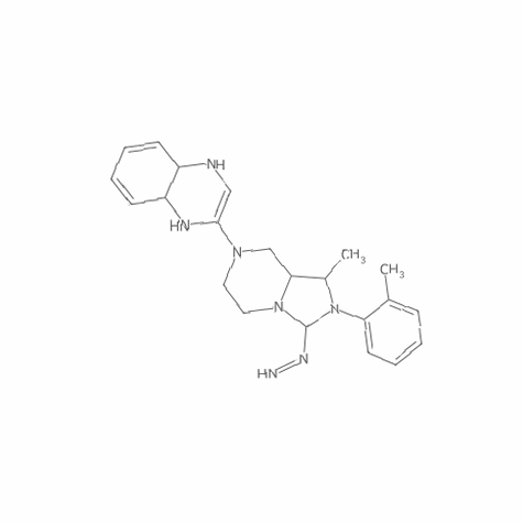 Cc1ccccc1N1C(C)C2CN(C3=CNC4C=CC=CC4N3)CCN2C1N=N